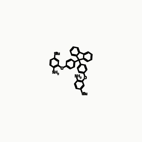 CC(C)(C)c1ccc(N)c(Oc2ccc(C3(c4ccc(Oc5cc(C(C)(C)C)ccc5N)cc4)c4ccccc4-c4ccccc43)cc2)c1